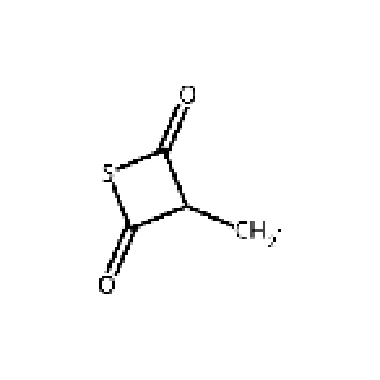 [CH2]C1C(=O)SC1=O